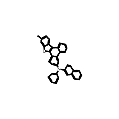 Cc1ccc2c(c1)oc1c3ccc(N(c4ccccc4)c4ccc5ccccc5c4)cc3c3ccccc3c21